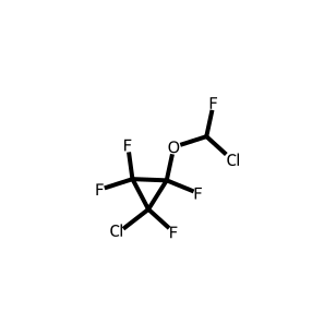 FC(Cl)OC1(F)C(F)(F)C1(F)Cl